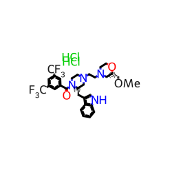 COC[C@@H]1CN(CCN2CCN(C(=O)c3cc(C(F)(F)F)cc(C(F)(F)F)c3)[C@H](Cc3c[nH]c4ccccc34)C2)CCO1.Cl.Cl